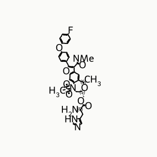 CNC(=O)c1c(-c2ccc(Oc3ccc(F)cc3)cc2)oc2cc3c(cc12)[C@H](C)O[C@H](COC(=O)[C@@H](N)Cc1cnc[nH]1)CN3S(C)(=O)=O